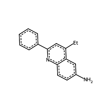 CCc1cc(-c2ccccc2)nc2ccc(N)cc12